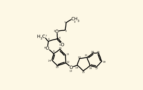 CCCOC(=O)C(C)Oc1ccc(OC2Cc3ccccc3C2)cc1